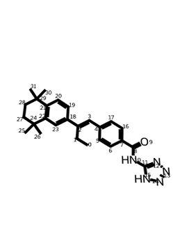 CC/C(=C\c1ccc(C(=O)Nc2nnn[nH]2)cc1)c1ccc2c(c1)C(C)(C)CCC2(C)C